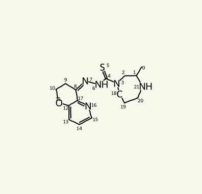 CC1CN(C(=S)N/N=C2/CCOc3cccnc32)CCCN1